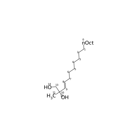 CCCCCCCCCCCCCCCC=CC(C)(O)CO